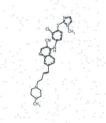 CN1CCN(CCC=Cc2ccc3c(Nc4ccc(Sc5nccn5C)c(Cl)c4)c(C#N)cnc3c2)CC1